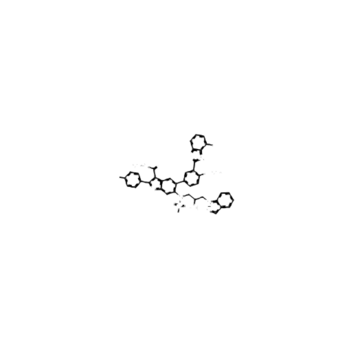 CNC(=O)c1c(-c2ccc(F)cc2)oc2cc(N(CC(O)Cn3ncc4ccccc43)S(C)(=O)=O)c(-c3ccc(OC)c(-c4nc5c(F)cccc5o4)c3)cc12